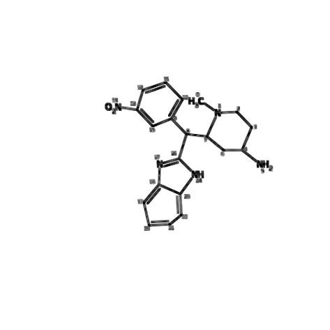 CN1CCC(N)CC1C(c1cccc([N+](=O)[O-])c1)c1nc2ccccc2[nH]1